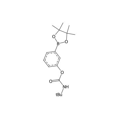 CC(C)(C)NC(=O)Oc1cccc(B2OC(C)(C)C(C)(C)O2)c1